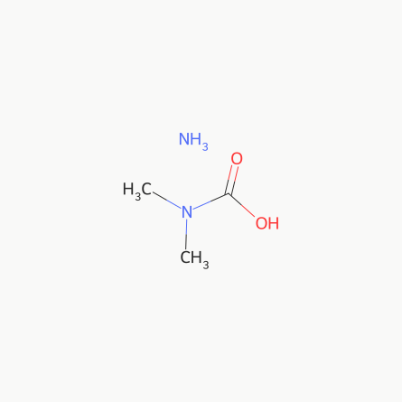 CN(C)C(=O)O.N